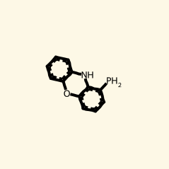 Pc1cccc2c1Nc1ccccc1O2